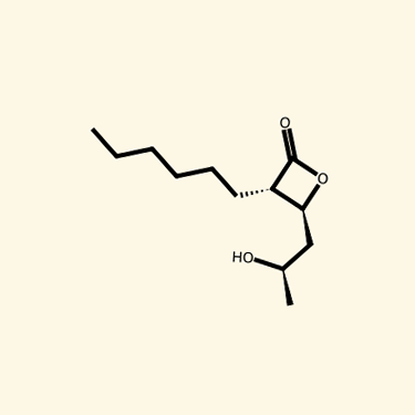 CCCCCC[C@@H]1C(=O)O[C@H]1C[C@@H](C)O